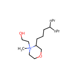 CCCC(CCC)CCCC1COCC[N+]1(C)CCO